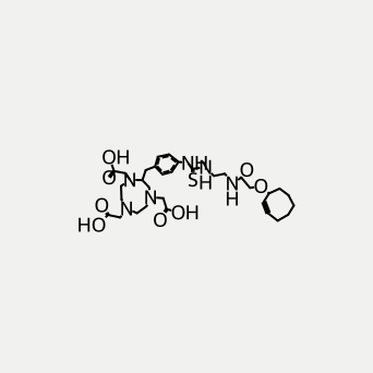 O=C(O)CN1CCN(CC(=O)O)CC(Cc2ccc(NC(=S)NCCNC(=O)COC3C#CCCCCC3)cc2)N(CC(=O)O)CC1